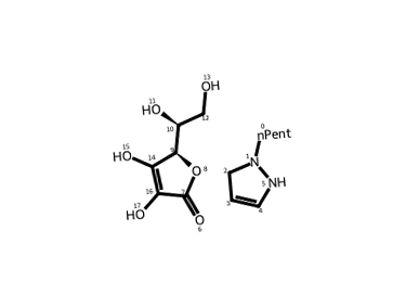 CCCCCN1CC=CN1.O=C1O[C@H]([C@@H](O)CO)C(O)=C1O